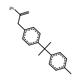 C=C(Cc1ccc(C(C)(C)c2ccc(C)cc2)cc1)C(C)C